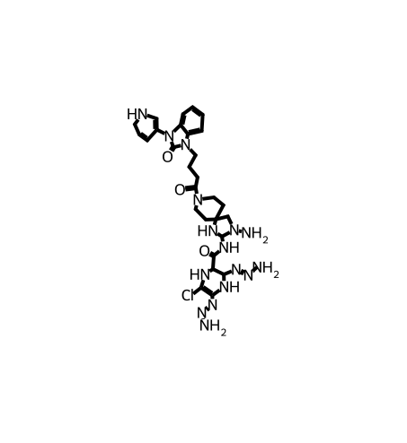 NN=NC1=C(Cl)NC(C(=O)NC2NC3(CCN(C(=O)CCCn4c(=O)n(C5=CNCC=C5)c5ccccc54)CC3)CN2N)C(N=NN)N1